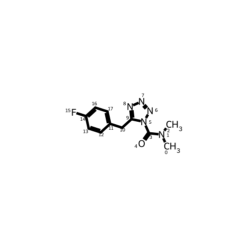 CN(C)C(=O)n1nnnc1Cc1ccc(F)cc1